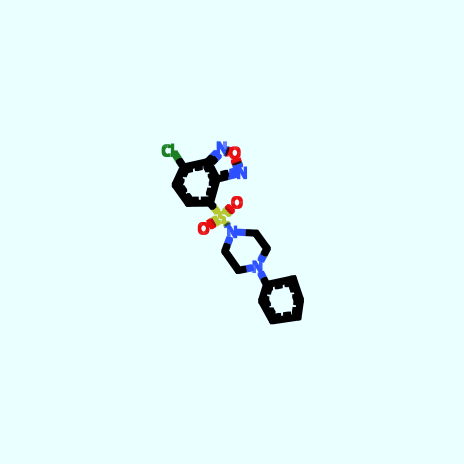 O=S(=O)(c1ccc(Cl)c2nonc12)N1CCN(c2ccccc2)CC1